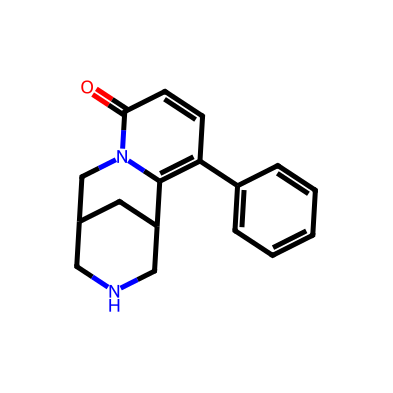 O=c1ccc(-c2ccccc2)c2n1CC1CNCC2C1